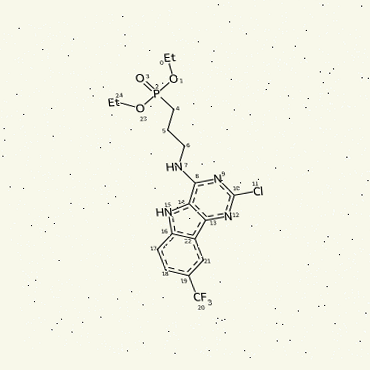 CCOP(=O)(CCCNc1nc(Cl)nc2c1[nH]c1ccc(C(F)(F)F)cc12)OCC